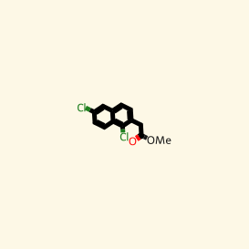 COC(=O)Cc1ccc2cc(Cl)ccc2c1Cl